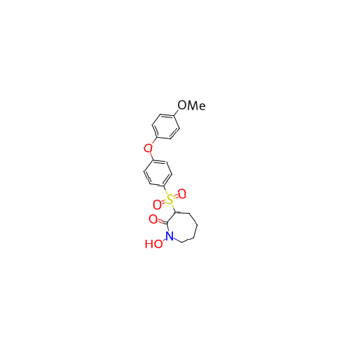 COc1ccc(Oc2ccc(S(=O)(=O)C3CCCCN(O)C3=O)cc2)cc1